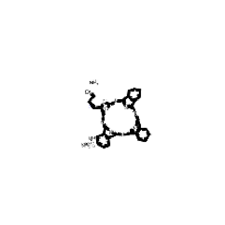 [Co]=[CH]/C=C\c1[c-]c2nc3nc(nc4[nH]c(nc5nc(nc1[nH]2)-c1ccccc1-5)c1ccccc41)-c1ccccc1-3.[NH2-].[NH2-].[NH2-].[NH2-]